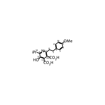 COc1ccc(CCc2nc(C(C)C)c(O)c(C(=O)O)c2C(=O)O)cc1